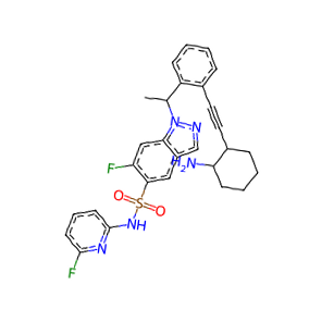 CC(c1ccccc1C#CC1CCCCC1N)n1ncc2cc(S(=O)(=O)Nc3cccc(F)n3)c(F)cc21